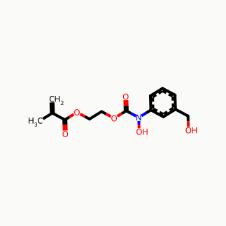 C=C(C)C(=O)OCCOC(=O)N(O)c1cccc(CO)c1